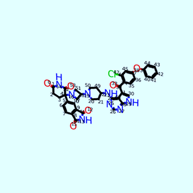 O=C1CCC(c2ccc3c(c2)C(=O)NC3=O)(N2CC(N3CCC(Nc4ncnc5[nH]cc(C(=O)c6ccc(Oc7ccccc7)cc6Cl)c45)CC3)C2)C(=O)N1